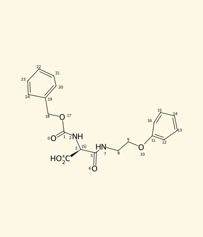 O=C(N[C@H](C(=O)O)C(=O)NCCOc1ccccc1)OCc1ccccc1